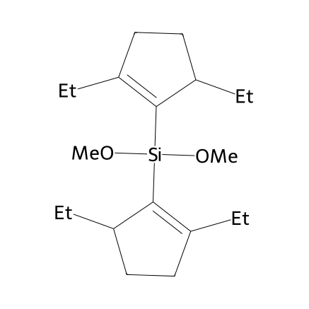 CCC1=C([Si](OC)(OC)C2=C(CC)CCC2CC)C(CC)CC1